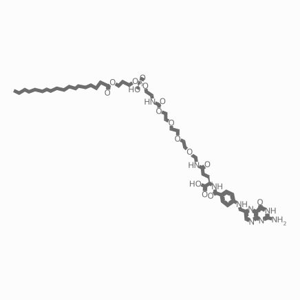 CCCCCCCCCCCCCCCCCC(=O)OCCCOP(=O)(O)OCCNC(=O)OCCOCCOCCOCCNC(=O)CC[C@@H](NC(=O)c1ccc(NCc2cnc3nc(N)[nH]c(=O)c3n2)cc1)C(=O)O